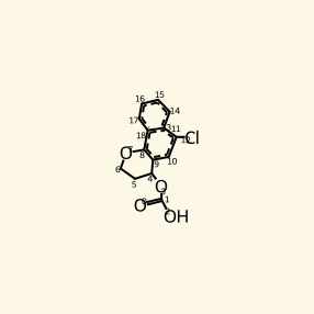 O=C(O)OC1CCOc2c1cc(Cl)c1ccccc21